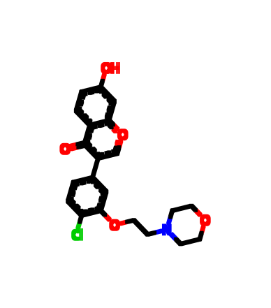 O=c1c(-c2ccc(Cl)c(OCCN3CCOCC3)c2)coc2cc(O)ccc12